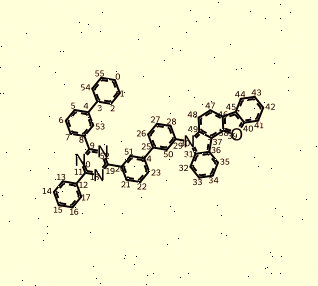 c1ccc(-c2cccc(-c3nc(-c4ccccc4)nc(-c4cccc(-c5cccc(-n6c7ccccc7c7c8oc9ccccc9c8ccc76)c5)c4)n3)c2)cc1